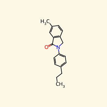 CCCc1ccc(N2Cc3ccc(C)cc3C2=O)cc1